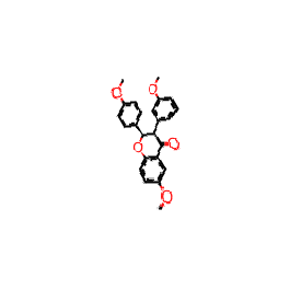 COc1ccc(C2Oc3ccc(OC)cc3C(=O)C2c2cccc(OC)c2)cc1